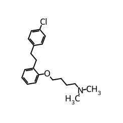 CN(C)CCCCOc1ccccc1CCc1ccc(Cl)cc1